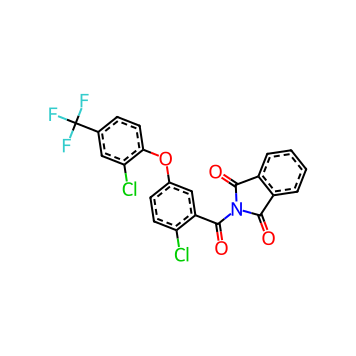 O=C(c1cc(Oc2ccc(C(F)(F)F)cc2Cl)ccc1Cl)N1C(=O)c2ccccc2C1=O